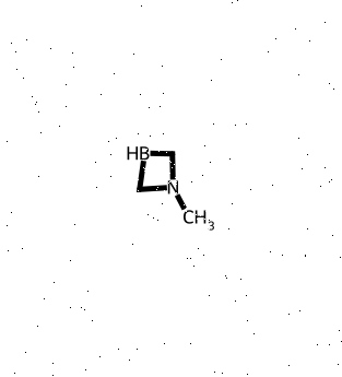 CN1CBC1